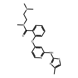 Cc1csc(Nc2cc(Oc3ccccc3C(=O)N(C)CCN(C)C)ccn2)n1